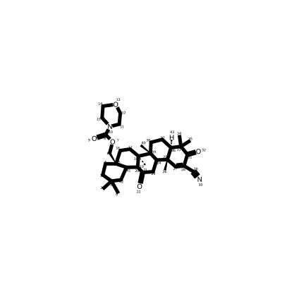 CC1(C)CC[C@]2(COC(=O)N3CCOCC3)CC[C@]3(C)C(C(=O)CC4[C@@]5(C)C=C(C#N)C(=O)C(C)(C)[C@@H]5CC[C@]43C)C2C1